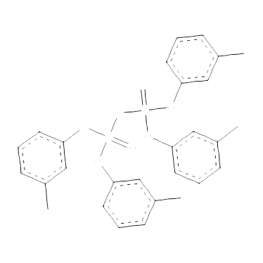 Cc1cccc(OP(=O)(Oc2cccc(C)c2)OP(=O)(Oc2cccc(C)c2)Oc2cccc(C)c2)c1